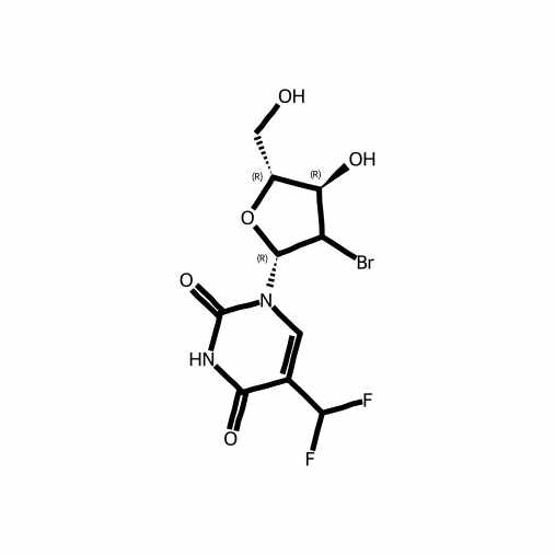 O=c1[nH]c(=O)n([C@@H]2O[C@H](CO)[C@@H](O)C2Br)cc1C(F)F